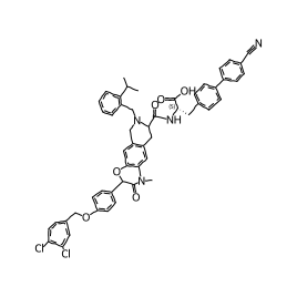 CC(C)c1ccccc1CN1Cc2cc3c(cc2CC1C(=O)N[C@@H](Cc1ccc(-c2ccc(C#N)cc2)cc1)C(=O)O)N(C)C(=O)C(c1ccc(OCc2ccc(Cl)c(Cl)c2)cc1)O3